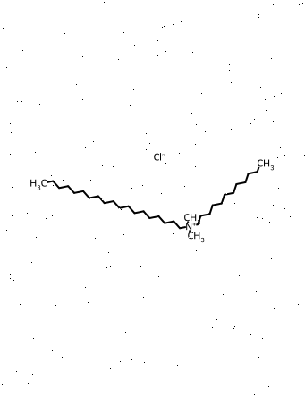 CCCCCCCCCCCCCCCCCCC[N+](C)(C)CCCCCCCCCCCC.[Cl-]